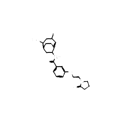 CC1/C=C2\CCC(CC2NC(=O)c2cccc(OCCN3CCCC3=O)c2)C(O)C1